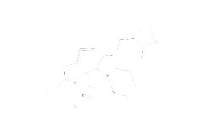 Cc1ncsc1COc1ccc2oc(C)c(C(N)=O)c2c1C1(CO)CCCNC1=O